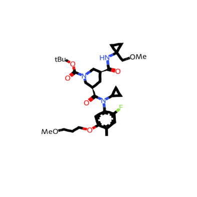 COCCCOc1cc(N(C(=O)[C@@H]2C[C@H](C(=O)NC3(COC)CC3)CN(C(=O)OC(C)(C)C)C2)C2CC2)c(F)cc1C